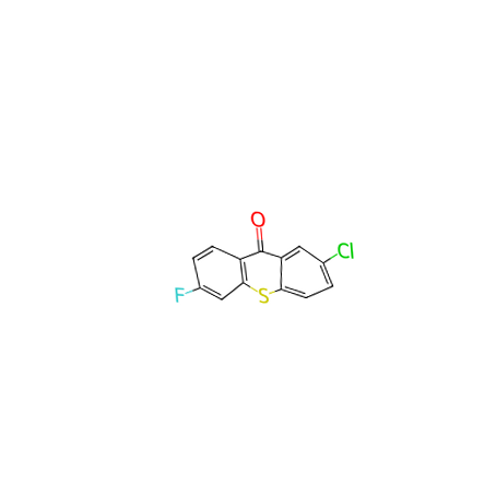 O=c1c2ccc(F)cc2sc2ccc(Cl)cc12